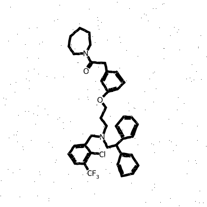 O=C(Cc1cccc(OCCCN(Cc2cccc(C(F)(F)F)c2Cl)CC(c2ccccc2)c2ccccc2)c1)N1CCCCCC1